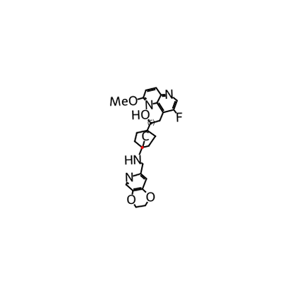 COc1ccc2ncc(F)c(C[C@H](O)C34CCC(NCc5cc6c(cn5)OCCO6)(CC3)CC4)c2n1